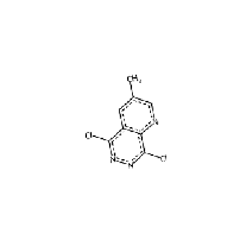 Cc1cnc2c(Cl)nnc(Cl)c2c1